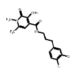 COc1c(C(=O)NCCCc2ccc(Cl)c(Cl)c2)cc(C(F)(F)F)n(C)c1=O